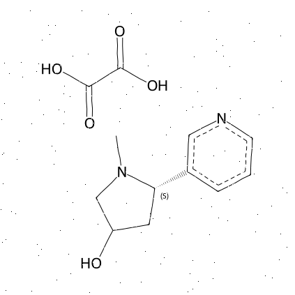 CN1CC(O)C[C@H]1c1cccnc1.O=C(O)C(=O)O